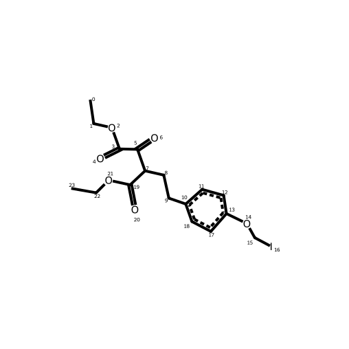 CCOC(=O)C(=O)C(CCc1ccc(OCI)cc1)C(=O)OCC